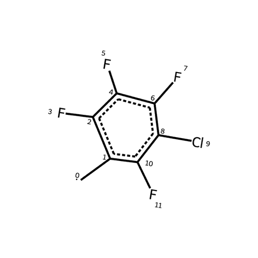 [CH2]c1c(F)c(F)c(F)c(Cl)c1F